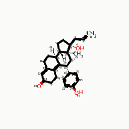 C=CC[C@]1(O)CC[C@H]2[C@@H]3CCC4=CC(=O)CCC4=C3[C@@H](c3ccc(O)cc3)C[C@@]21C